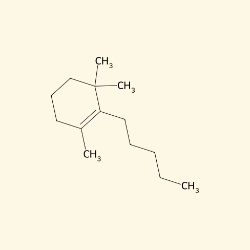 CCCCCC1=C(C)CCCC1(C)C